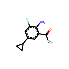 CC(=O)c1cc(C2CC2)cc(F)c1N